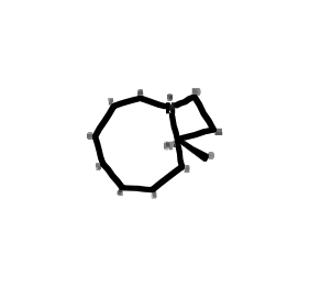 C[C@@]12CCCCCCCN1CC2